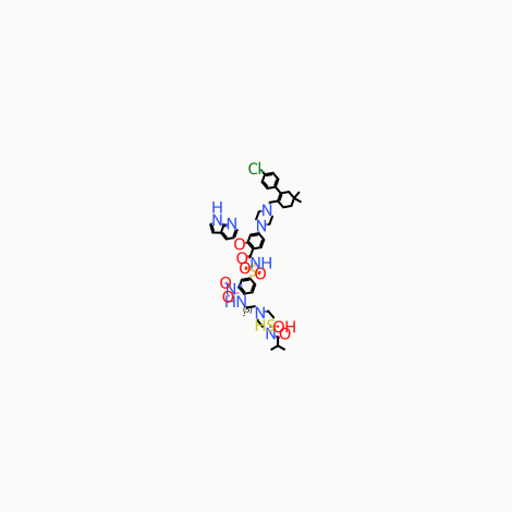 CC(C)C(=O)N=[SH]1(O)CCN(C[C@H](C)Nc2ccc(S(=O)(=O)NC(=O)c3ccc(N4CCN(CC5=C(c6ccc(Cl)cc6)CC(C)(C)CC5)CC4)cc3Oc3cnc4[nH]ccc4c3)cc2[N+](=O)[O-])CC1